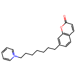 O=c1ccc2ccc(CCCCCCC[n+]3ccccc3)cc2o1